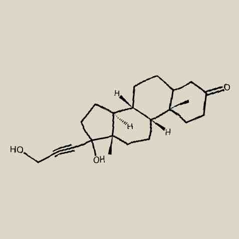 C[C@]12CCC(=O)CC1CC[C@@H]1[C@H]2CC[C@@]2(C)[C@H]1CCC2(O)C#CCO